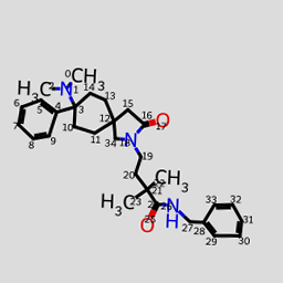 CN(C)C1(c2ccccc2)CCC2(CC1)CC(=O)N(CCC(C)(C)C(=O)NCc1ccccc1)C2